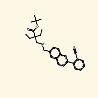 CCC(CC)(CNCc1ccc2nc(-c3ccccc3C#N)ccc2c1)C(=O)OC(C)(C)C